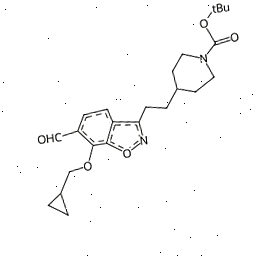 CC(C)(C)OC(=O)N1CCC(CCc2noc3c(OCC4CC4)c(C=O)ccc23)CC1